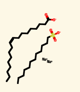 CCCCCCCC/C=C\CCCCCCCC(=O)[O-].CCCCCCCCCCCCS(=O)(=O)[O-].[Na+].[Na+]